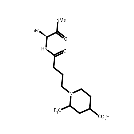 CNC(=O)[C@@H](NC(=O)CCCN1CCC(C(=O)O)CC1C(F)(F)F)C(C)C